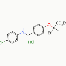 CCOC(=O)C(C)(CC)Oc1ccc(CNc2ccc(Cl)cc2)cc1.Cl